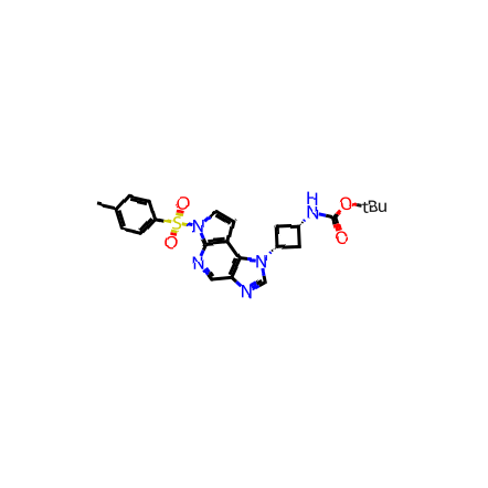 Cc1ccc(S(=O)(=O)n2ccc3c2ncc2ncn([C@H]4C[C@@H](NC(=O)OC(C)(C)C)C4)c23)cc1